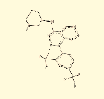 CN1CCC[C@@H](Nc2nnc(-c3ccc(C(F)(F)F)cc3C(F)(F)F)c3ccncc23)C1